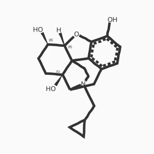 Oc1ccc2c3c1O[C@H]1[C@H](O)CC[C@@]4(O)C(C2)N(CC2CC2)CCC314